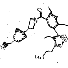 Cc1cc(C)c(-c2[nH]nc(CCO)c2C)cc1C(=O)N1CC(c2ccc(C#N)cc2)C1